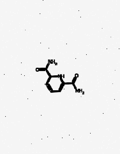 NC(=O)C1=CC=[C]C(C(N)=O)N1